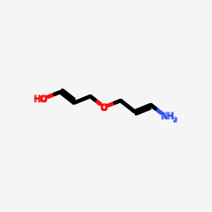 NC=CCOCC=CO